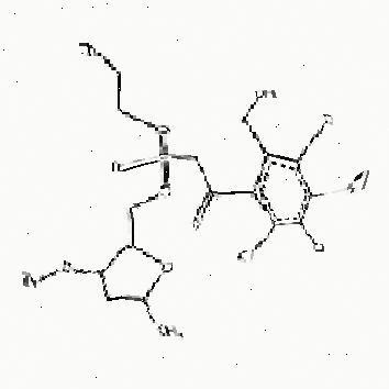 [C-]#[N+]CCOP(=O)(CC(=O)c1c(Cl)c(Cl)c(Cl)c(Cl)c1CO)OCC1OC(C)CC1OC(C)C